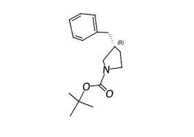 CC(C)(C)OC(=O)N1CC[C@@H](Cc2ccccc2)C1